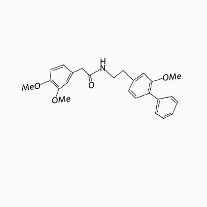 COc1ccc(CC(=O)NCCc2ccc(-c3ccccc3)c(OC)c2)cc1OC